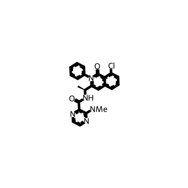 CNc1nccnc1C(=O)N[C@@H](C)c1cc2cccc(Cl)c2c(=O)n1-c1ccccc1